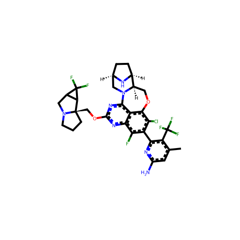 Cc1cc(N)nc(-c2c(Cl)c3c4c(nc(OC[C@@]56CCCN5CC5C6C5(F)F)nc4c2F)N2C[C@H]4CC[C@H](N4)[C@H]2CO3)c1C(F)(F)F